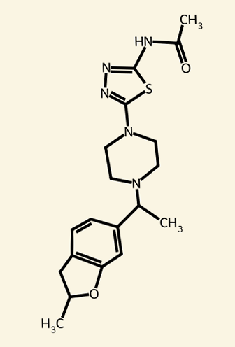 CC(=O)Nc1nnc(N2CCN(C(C)c3ccc4c(c3)OC(C)C4)CC2)s1